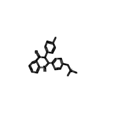 Cc1ccc(C2C(=O)c3ccccc3NC2c2ccc(CN(C)C)cc2)cc1